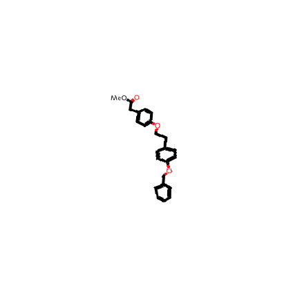 COC(=O)Cc1ccc(OCCc2ccc(OCc3ccccc3)cc2)cc1